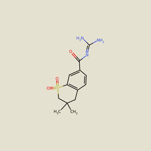 CC1(C)Cc2ccc(C(=O)N=C(N)N)cc2S(=O)(=O)C1